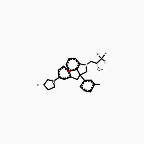 Cc1cccc(C2(Cc3cccc(N4CC[C@H](C)C4)c3)CN(C[C@@H](O)C(F)(F)F)c3ccccc32)c1